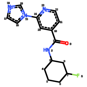 O=C(NC1CCCC(F)C1)c1ccnc(-n2ccnc2)c1